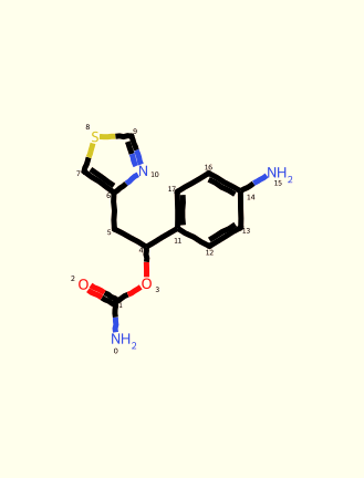 NC(=O)OC(Cc1cscn1)c1ccc(N)cc1